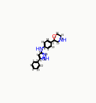 c1ccc(-c2cc(Nc3ccc(C4CNCCO4)cc3)n[nH]2)cc1